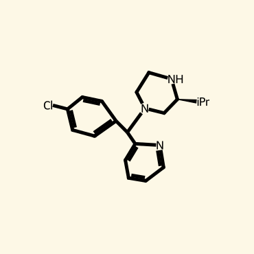 CC(C)[C@H]1CN(C(c2ccc(Cl)cc2)c2ccccn2)CCN1